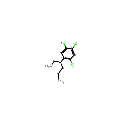 CCCC(CC)c1cc(Cl)c(Cl)cc1Cl